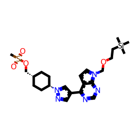 C[Si](C)(C)CCOCn1ccc2c(-c3cnn([C@H]4CC[C@@H](COS(C)(=O)=O)CC4)c3)ncnc21